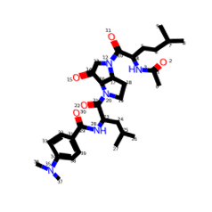 CC(=O)NC(CCC(C)C)C(=O)N1CC(=O)C2C1CCN2C(=O)C(CC(C)C)NC(=O)c1ccc(N(C)C)cc1